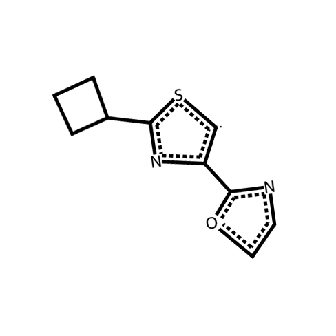 [c]1sc(C2CCC2)nc1-c1ncco1